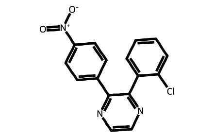 O=[N+]([O-])c1ccc(-c2nccnc2-c2ccccc2Cl)cc1